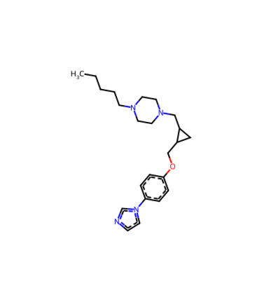 CCCCCN1CCN(CC2CC2COc2ccc(-n3ccnc3)cc2)CC1